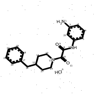 Cl.Nc1cccc(NC(=O)C(=O)N2CCC(Cc3ccccc3)CC2)c1